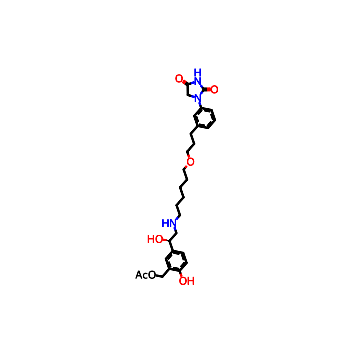 CC(=O)OCc1cc([C@@H](O)CNCCCCCCOCCCc2cccc(N3CC(=O)NC3=O)c2)ccc1O